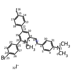 CN(C)c1ccc(/C=C/c2cc(-c3ccc(I)cc3)cc(-c3ccc(Br)cc3)[n+]2C)cc1.[I-]